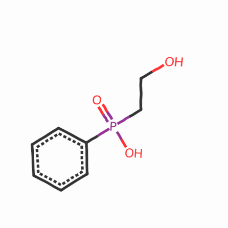 O=P(O)(CCO)c1ccccc1